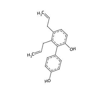 C=CCc1ccc(O)c(-c2ccc(O)cc2)c1CC=C